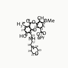 CCCOC(=O)c1cc(OC)c(C)c2c1Oc1c(CNCCN3CCOCC3)c(O)cc(C)c1C(=O)O2